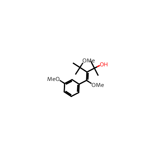 COC(=C(C(C)(C)O)C(C)(C)OC)c1cccc(OC)c1